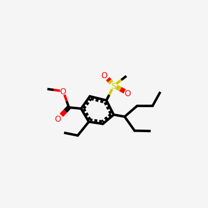 CCCC(CC)c1cc(CC)c(C(=O)OC)cc1S(C)(=O)=O